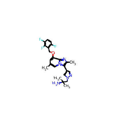 Cc1cc(OCc2c(F)ccc(F)c2F)c2nc(C)c(-c3cnn(CC(C)(C)N)c3)n2c1